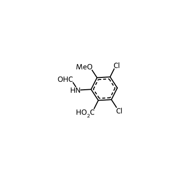 COc1c(Cl)cc(Cl)c(C(=O)O)c1NC=O